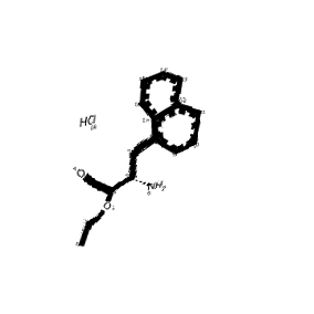 CCOC(=O)[C@@H](N)Cc1cccc2ccccc12.Cl